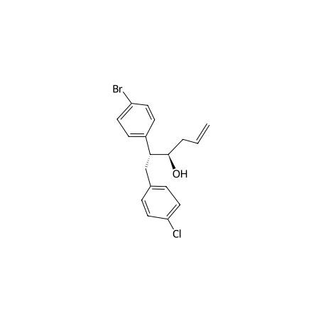 C=CC[C@@H](O)[C@H](Cc1ccc(Cl)cc1)c1ccc(Br)cc1